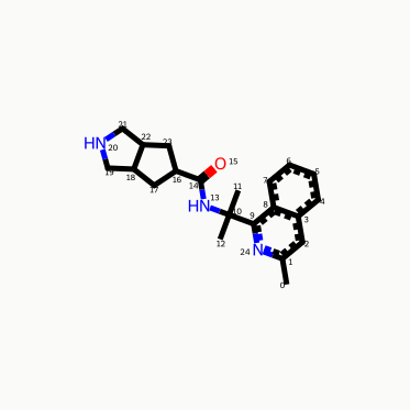 Cc1cc2ccccc2c(C(C)(C)NC(=O)C2CC3CNCC3C2)n1